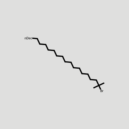 CCCCCCCCCCCCCCCCCCCCCCCCCC(C)(C)Br